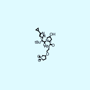 CC(C)(C)[C@@H](C(=O)N1C[C@H](O)C[C@H]1C(=O)NCCOC1CCS(=O)(=O)C1)n1cc(C2CC2)nn1